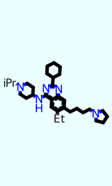 CCc1cc2c(NC3CCN(C(C)C)CC3)nc(C3CCCCC3)nc2cc1CCCCN1CCCC1